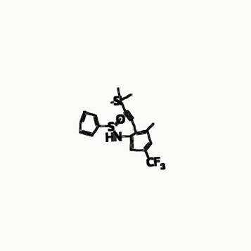 Cc1cc(C(F)(F)F)cc(N[S+]([O-])c2ccccc2)c1C#C[Si](C)(C)C